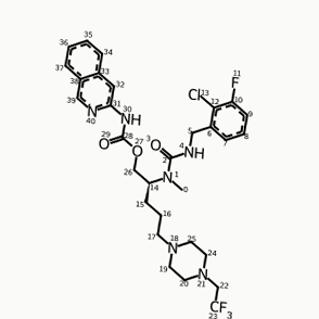 CN(C(=O)NCc1cccc(F)c1Cl)[C@@H](CCCN1CCN(CC(F)(F)F)CC1)COC(=O)Nc1cc2ccccc2cn1